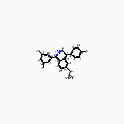 Cc1ccc(-c2cnc(-c3cc(C)cc(C)c3)c3ccc(CC(C)C)cc23)cc1